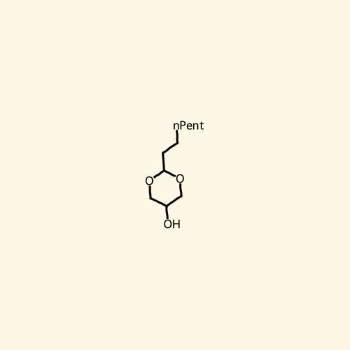 CCCCCCCC1OCC(O)CO1